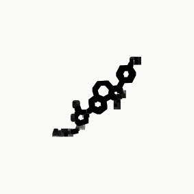 CC(=O)NC[C@H]1CN(c2ccc3c(c2)CCCc2c(-c4ccc(C#N)cc4)n[nH]c2-3)C(=O)O1